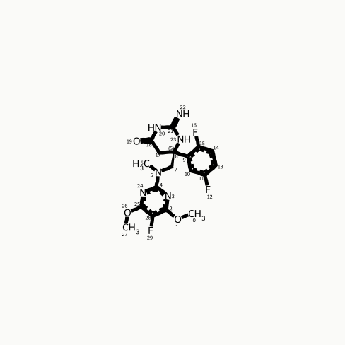 COc1nc(N(C)C[C@@]2(c3cc(F)ccc3F)CC(=O)NC(=N)N2)nc(OC)c1F